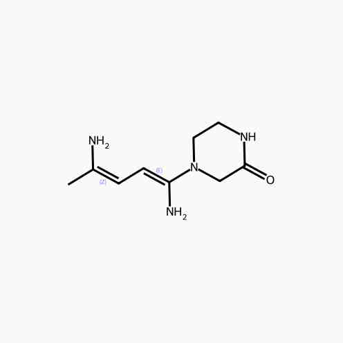 C/C(N)=C/C=C(\N)N1CCNC(=O)C1